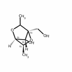 CC1O[C@@H]2[C@H](C)O[C@@]1(CO)[C@@H]2O